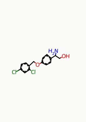 NC(CO)c1ccc(OCc2ccc(Cl)cc2Cl)cc1